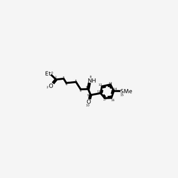 CCC(=O)CCCCC(=N)C(=O)c1ccc(SC)cc1